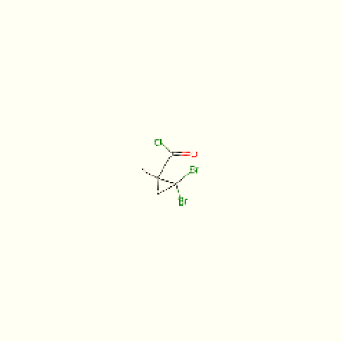 CC1(C(=O)Cl)CC1(Br)Br